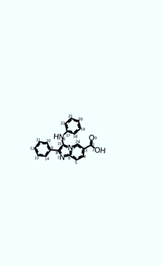 O=C(O)c1ccc2nc(-c3ccccc3)c(Nc3ccccc3)n2c1